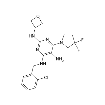 Nc1c(NCc2ccccc2Cl)nc(NC2COC2)nc1N1CCC(F)(F)C1